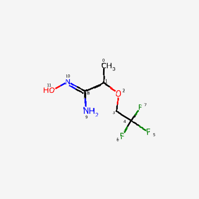 CC(OCC(F)(F)F)C(N)=NO